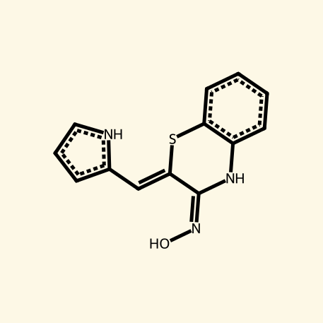 ON=C1Nc2ccccc2SC1=Cc1ccc[nH]1